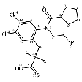 CC(C)CCN(C(=O)C1CCCC1)c1cc(Cl)c(Cl)cc1CC(C)(C)C(O)=S